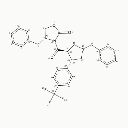 O=C1OC[C@@H](Cc2ccccc2)N1C(=O)[C@H]1CN(Cc2ccccc2)C[C@@H]1c1ccc(C(F)(F)F)cc1